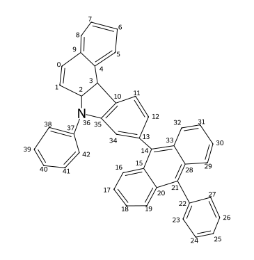 C1=CC2C(c3ccccc31)c1ccc(-c3c4ccccc4c(-c4ccccc4)c4ccccc34)cc1N2c1ccccc1